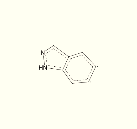 [c]1[c]cc2[nH]ncc2c1